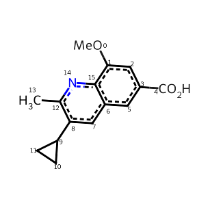 COc1cc(C(=O)O)cc2cc(C3CC3)c(C)nc12